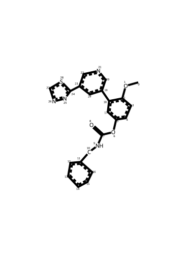 COc1ccc(OC(=O)NCc2ccccc2)cc1-c1cncc(-c2nncs2)c1